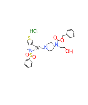 CN(C[C@@H](CCN1CCC(N(CCO)C(=O)OCc2ccccc2)CC1)c1ccsc1)S(=O)(=O)c1ccccc1.Cl